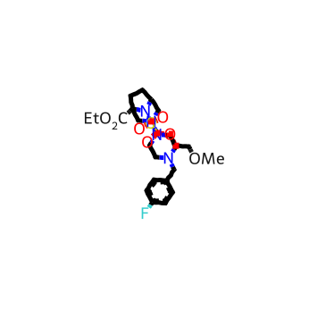 CCOC(=O)C12CCC(CN(C(=O)OCCOC)C1)N2S(=O)(=O)N1CCN(Cc2ccc(F)cc2)CC1